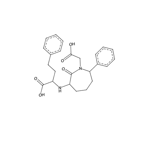 O=C(O)CN1C(=O)C(NC(CCc2ccccc2)C(=O)O)CCCC1c1ccccc1